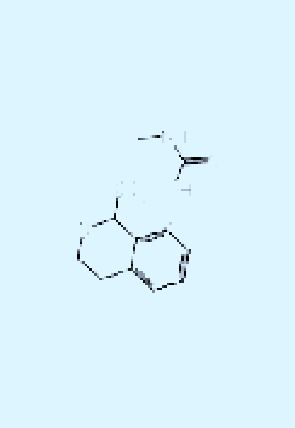 CNC(=O)O.O=C(O)C1NCCc2ccccc21